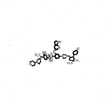 CN(c1ccc(S(=O)(=O)NC(=O)c2ccc(N3CCN(CC4=C(c5ccc(Cl)cc5)CC(C)(C)CC4)CC3)cc2Oc2cnc3[nH]ccc3c2)cc1[N+](=O)[O-])C1CCN(C2CCOCC2)C1